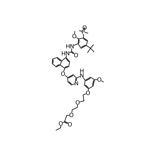 CCOC(=O)COCCOCCOc1cc(Nc2cc(Oc3ccc(NC(=O)Nc4cc(C(C)(C)C)cc(P(C)(C)=O)c4OC)c4ccccc34)ccn2)cc(OC)c1